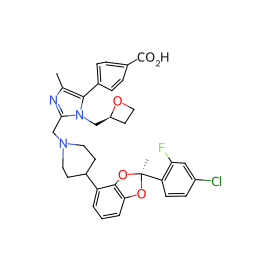 Cc1nc(CN2CCC(c3cccc4c3O[C@@](C)(c3ccc(Cl)cc3F)O4)CC2)n(C[C@@H]2CCO2)c1-c1ccc(C(=O)O)cc1